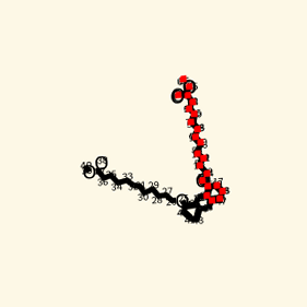 COC(=O)CCCCCCCCCCCOc1cccc2c1C1c3c(OCCCCCCCCCCCC(=O)OC)cccc3C2c2cccc(OCCCCCCCCCCCC(=O)OC)c21